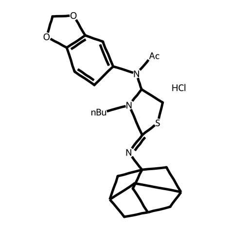 CCCCN1C(=NC23CC4CC(CC(C4)C2)C3)SCC1N(C(C)=O)c1ccc2c(c1)OCO2.Cl